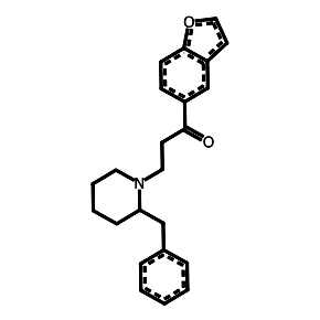 O=C(CCN1CCCCC1Cc1ccccc1)c1ccc2occc2c1